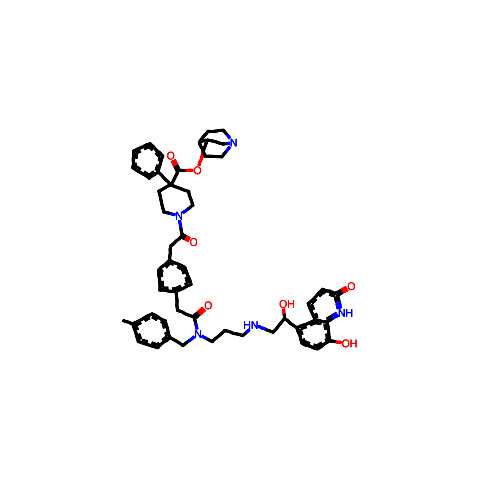 Cc1ccc(CN(CCCNCC(O)c2ccc(O)c3[nH]c(=O)ccc23)C(=O)Cc2ccc(CC(=O)N3CCC(C(=O)OC4CN5CCC4CC5)(c4ccccc4)CC3)cc2)cc1